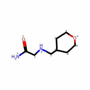 NC(=O)CNCC1CCOCC1